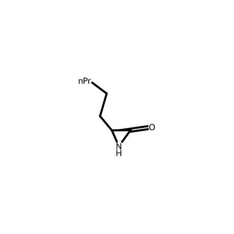 CCCCCC1NC1=O